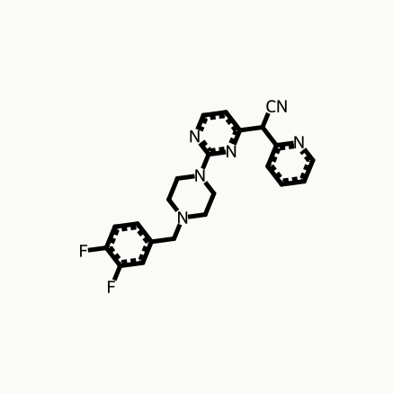 N#CC(c1ccccn1)c1ccnc(N2CCN(Cc3ccc(F)c(F)c3)CC2)n1